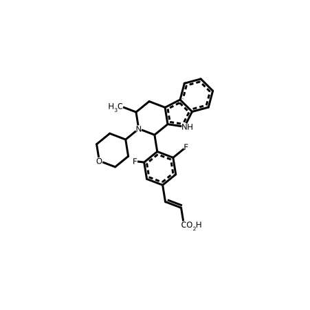 CC1Cc2c([nH]c3ccccc23)C(c2c(F)cc(/C=C/C(=O)O)cc2F)N1C1CCOCC1